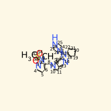 CN(c1ncccc1Cn1ccc2cnc(N(c3ccccc3)N3CCNCC3)cc21)S(C)(=O)=O